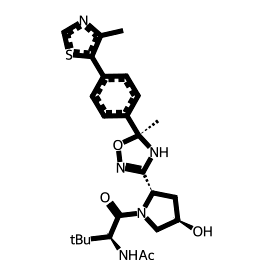 CC(=O)N[C@H](C(=O)N1C[C@H](O)C[C@H]1C1=NO[C@@](C)(c2ccc(-c3scnc3C)cc2)N1)C(C)(C)C